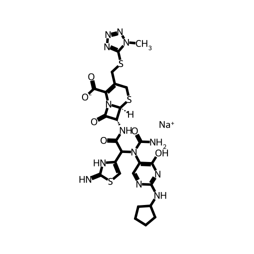 Cn1nnnc1SCC1=C(C(=O)[O-])N2C(=O)[C@@H](NC(=O)C(c3csc(=N)[nH]3)N(C(N)=O)c3cnc(NC4CCCC4)nc3O)[C@@H]2SC1.[Na+]